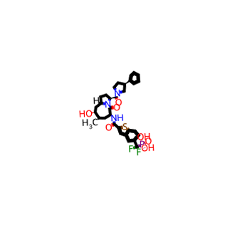 C[C@@H]1C[C@H](NC(=O)c2cc3cc(C(F)(F)P(=O)(O)O)ccc3s2)C(=O)N2[C@H](CC[C@H]2C(=O)N2CC[C@@H](c3ccccc3)C2)C[C@H]1O